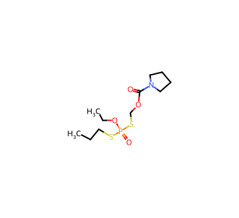 CCCSP(=O)(OCC)SCOC(=O)N1CCCC1